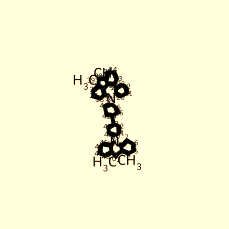 CC1(C)c2ccccc2N(c2ccc(-c3ccc(N(c4ccccc4)c4cccc5c4-c4ccccc4C5(C)C)cc3)cc2)c2ccccc21